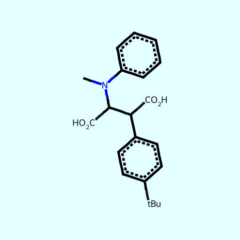 CN(c1ccccc1)C(C(=O)O)C(C(=O)O)c1ccc(C(C)(C)C)cc1